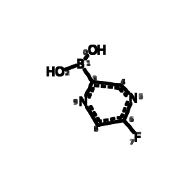 OB(O)c1cnc(F)cn1